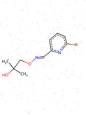 CC(C)(O)CO/N=C/c1cccc(Br)n1